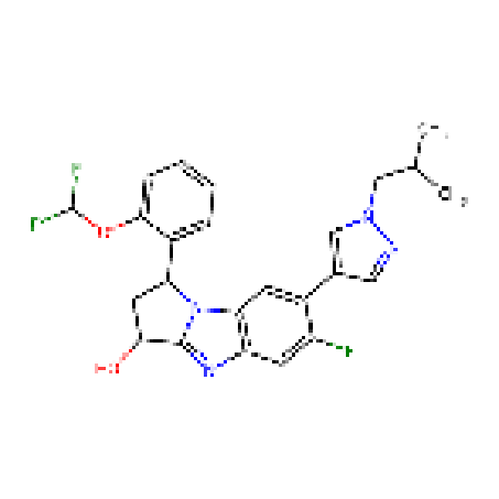 CC(C)Cn1cc(-c2cc3c(cc2F)nc2n3C(c3ccccc3OC(F)F)CC2O)cn1